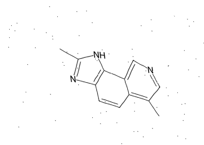 Cc1nc2ccc3c(C)cncc3c2[nH]1